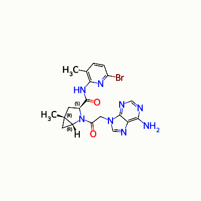 Cc1ccc(Br)nc1NC(=O)[C@@H]1C[C@@]2(C)C[C@H]2N1C(=O)Cn1cnc2c(N)ncnc21